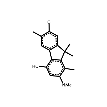 CNc1cc(O)c2c(c1C)C(C)(C)c1cc(O)c(C)cc1-2